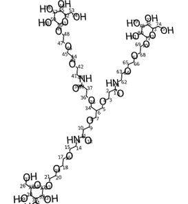 O=C(CCOCC(COCCC(=O)NCCOCCOCCO[C@H]1OC(CO)[C@@H](O)C(O)C1O)COCCC(=O)NCCOCCOCCO[C@H]1OC(CO)[C@@H](O)C(O)[C@H]1O)NCCOCCOCCO[C@H]1OC(CO)[C@@H](O)C(O)C1O